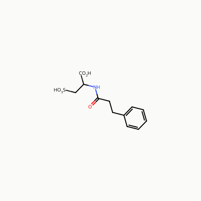 O=C(CCc1ccccc1)NC(CS(=O)(=O)O)C(=O)O